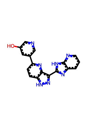 Oc1cncc(-c2ccc3[nH]nc(-c4nc5cccnc5[nH]4)c3n2)c1